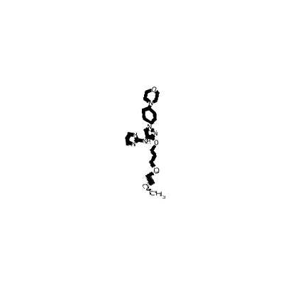 COCCOCCCOc1nn(C2CCC(N3CCOCC3)CC2)cc1Nc1ncccn1